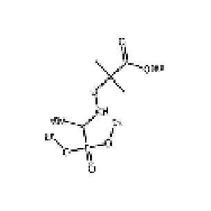 CCOP(=O)(OCC)C(NOC(C)(C)C(=O)OC)C(C)(C)C